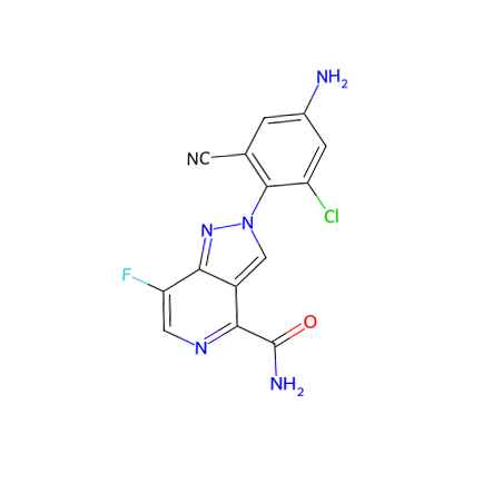 N#Cc1cc(N)cc(Cl)c1-n1cc2c(C(N)=O)ncc(F)c2n1